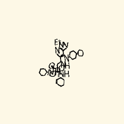 CCn1ncc2c(NC3CCC(=O)CC3)c(C3=NOC(C(=O)NC4CCCCC4)(C(=O)NC4CCCCC4)C3)cnc21